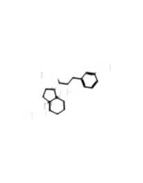 CC(CCc1cccc(O)c1)[C@H]1CC[C@H]2[C@@H](O)CCC[C@]12C